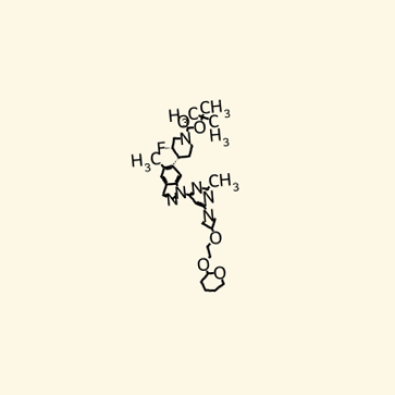 Cc1nc(N2CC(OCCOC3CCCCO3)C2)cc(-n2ncc3cc(C)c([C@H]4CCN(C(=O)OC(C)(C)C)C[C@H]4F)cc32)n1